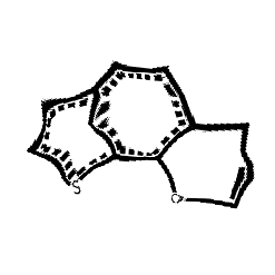 C1=COc2c(ccc3ccsc23)C1